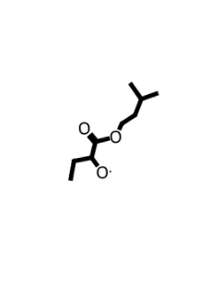 CCC([O])C(=O)OCCC(C)C